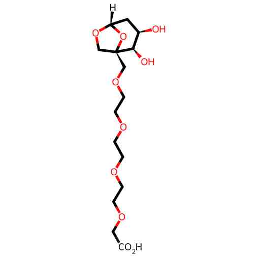 O=C(O)COCCOCCOCCOC[C@]12CO[C@H](C[C@@H](O)[C@H]1O)O2